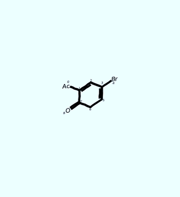 CC(=O)C1=CC(Br)=CCC1=O